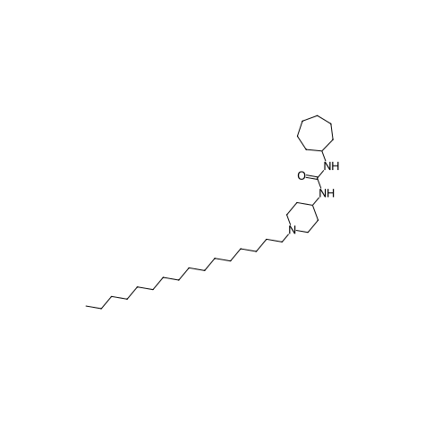 CCCCCCCCCCCCCCCCN1CCC(NC(=O)NC2CCCCCC2)CC1